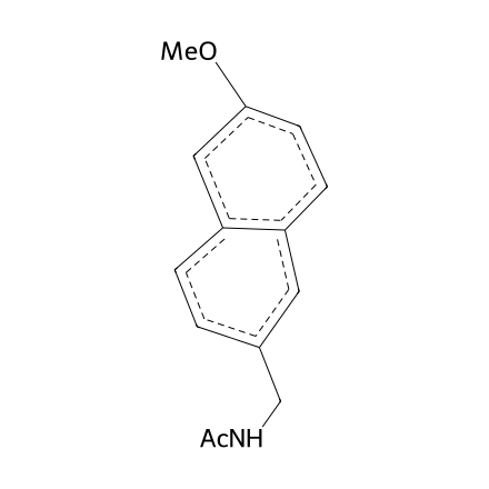 COc1ccc2cc(CNC(C)=O)ccc2c1